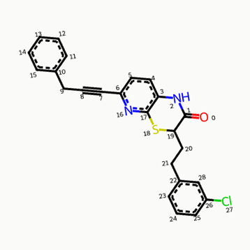 O=C1Nc2ccc(C#CCc3ccccc3)nc2SC1CCc1cccc(Cl)c1